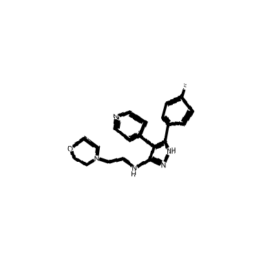 Fc1ccc(-c2[nH]nc(NCCN3CCOCC3)c2-c2ccncc2)cc1